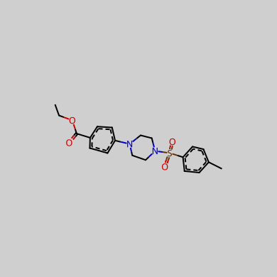 CCOC(=O)c1ccc(N2CCN(S(=O)(=O)c3ccc(C)cc3)CC2)cc1